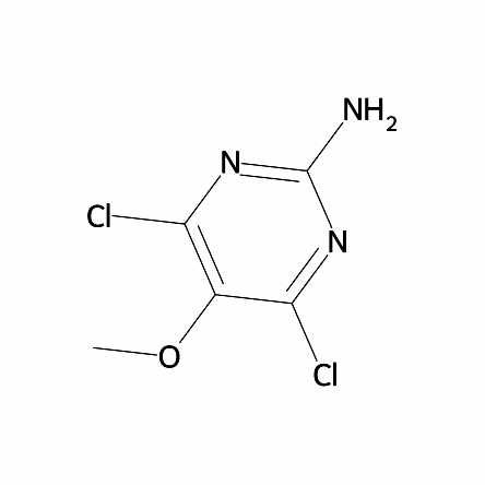 COc1c(Cl)nc(N)nc1Cl